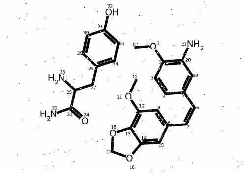 COc1ccc(/C=C\c2cc(OC)c3c(c2)OCO3)cc1N.NC(=O)C(N)Cc1ccc(O)cc1